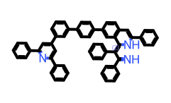 N=C(/C(=C1\NC(c2ccccc2)=Cc2ccc(-c3ccc(-c4cccc(-c5cc(-c6ccccc6)nc(-c6ccccc6)c5)c4)cc3)cc21)c1ccccc1)c1ccccc1